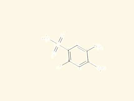 CS(=O)(=O)c1cc([N+](=O)[O-])c(C=O)cc1F